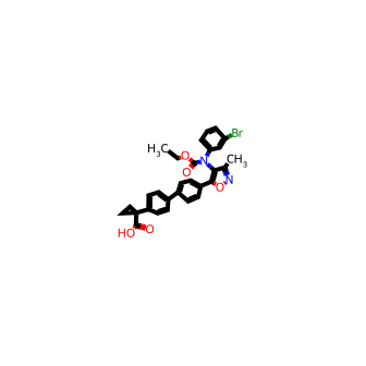 CCOC(=O)N(c1cccc(Br)c1)c1c(C)noc1-c1ccc(-c2ccc(C3(C(=O)O)CC3)cc2)cc1